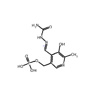 Cc1ncc(COP(=O)(O)O)c(/C=N/NC(N)=O)c1O